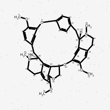 COc1ccc2cc1Oc1ccc(cc1)C[C@H]1c3cc(c(OC)cc3CCN1C)OC1COc3c(OC)cc4c(c31)[C@H](C2)N(C)CC4